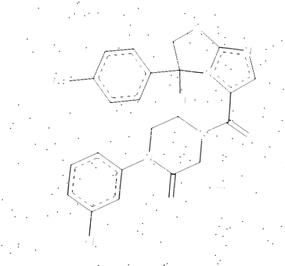 CC1(c2ccc(C#N)cc2)CSc2ncc(C(=O)N3CCN(c4cccc(Cl)c4)C(=O)C3)n21.Cl